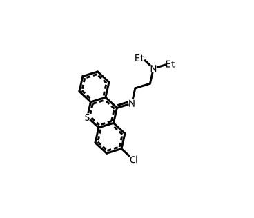 CCN(CC)CC/N=c1\c2ccccc2sc2ccc(Cl)cc12